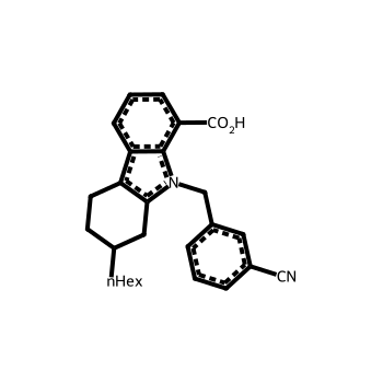 CCCCCCC1CCc2c(n(Cc3cccc(C#N)c3)c3c(C(=O)O)cccc23)C1